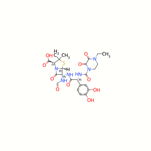 CCN1CCN(C(=O)N[C@@H](C(=O)N[C@]2(NC=O)C(=O)N3[C@@H](C(=O)O)C(C)(C)S[C@@H]32)c2ccc(O)c(O)c2)C(=O)C1=O